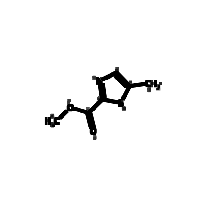 [CH2]c1cnc(C(=O)OC)s1